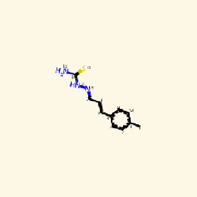 Cc1ccc(C=CC=NNC(N)=S)cc1